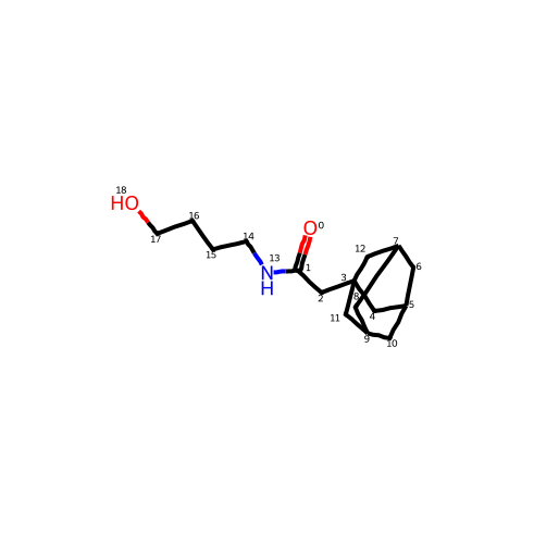 O=C(CC12CC3CC(CC(C3)C1)C2)NCCCCO